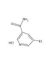 CCc1cncc(C(N)=O)c1.Cl